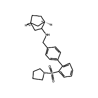 O=S(=O)(c1ccccc1-c1ccc(CNC2C[C@@H]3CC[C@@H]2C3)cc1)N1CCCC1